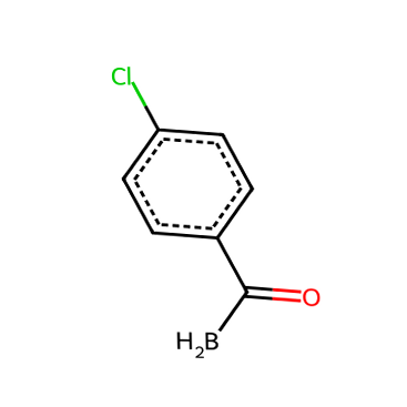 BC(=O)c1ccc(Cl)cc1